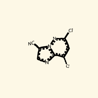 N#Cc1cnc2c(Cl)cc(Cl)nn12